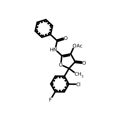 CC(=O)OC1=C(NC(=O)c2ccccc2)OC(C)(c2ccc(F)cc2Cl)C1=O